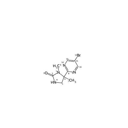 CN1C(=O)NCC1(C)c1ncc(Br)cn1